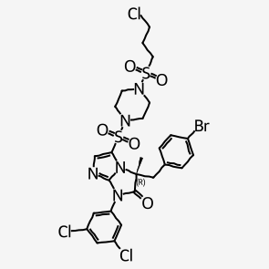 C[C@@]1(Cc2ccc(Br)cc2)C(=O)N(c2cc(Cl)cc(Cl)c2)c2ncc(S(=O)(=O)N3CCN(S(=O)(=O)CCCCl)CC3)n21